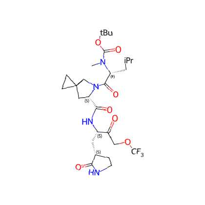 CC(C)C[C@H](C(=O)N1CC2(CC2)C[C@H]1C(=O)N[C@@H](C[C@@H]1CCNC1=O)C(=O)COC(F)(F)F)N(C)C(=O)OC(C)(C)C